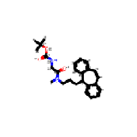 CN(CCCC1c2ccccc2C=Cc2ccccc21)C(=O)CNC(=O)OC(C)(C)C